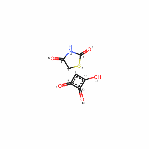 O=C1[CH]SC(=O)N1.O=c1[c]c(O)c1=O